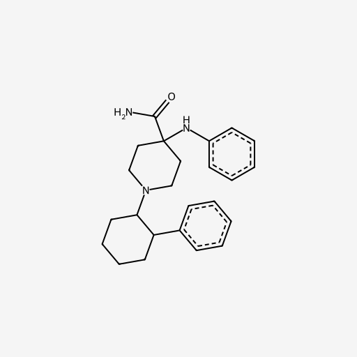 NC(=O)C1(Nc2ccccc2)CCN(C2CCCCC2c2ccccc2)CC1